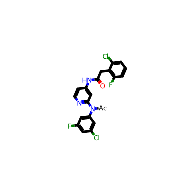 CC(=O)N(c1cc(F)cc(Cl)c1)c1cc(NC(=O)Cc2c(F)cccc2Cl)ccn1